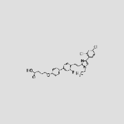 CCn1cc(-c2ccc(Cl)cc2Cl)nc1C=Cc1ccc(-c2ccc(OCCCC(=O)O)cc2)cc1F